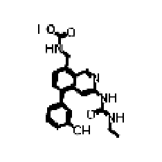 CCNC(=O)Nc1cc2c(-c3cccc(O)c3)ccc(CNC(=O)O)c2cn1